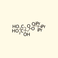 CC(C)C(C(=O)OC(=O)CC(O)(CC(=O)O)C(=O)O)(C(C)C)C(C)C